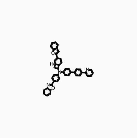 C1=CC2N=C(c3ccc(N(c4ccc(-c5ccc(-c6ccccn6)cc5)cc4)C4C[C@@H]5C=C(c6cc7ccccc7o6)C=CC45)cc3)OC2C=C1